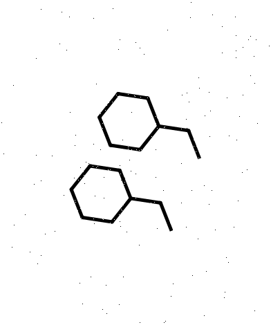 CCC1CCCCC1.CCC1CCCCC1